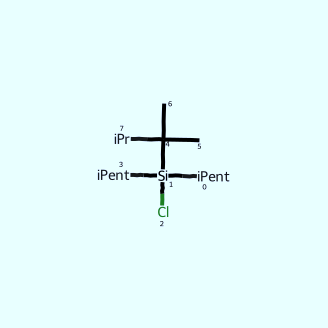 CCCC(C)[Si](Cl)(C(C)CCC)C(C)(C)C(C)C